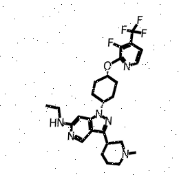 CCNc1cc2c(cn1)c(C1CCCN(C)C1)nn2[C@H]1CC[C@@H](Oc2nccc(C(F)(F)F)c2F)CC1